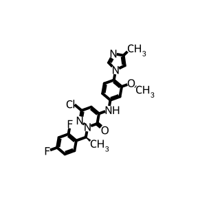 COc1cc(Nc2cc(Cl)nn([C@@H](C)c3ccc(F)cc3F)c2=O)ccc1-n1cnc(C)c1